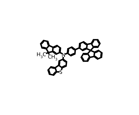 CC1(C)c2ccccc2-c2ccc(N(c3ccc(-c4ccc5c(c4)C4(c6ccccc6-c6ccccc64)c4ccccc4-5)cc3)c3ccc4sc5ccccc5c4c3)cc21